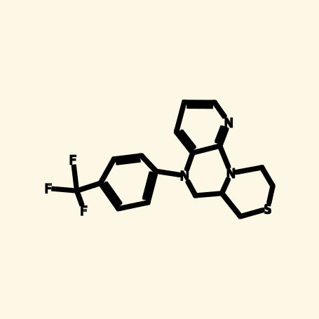 FC(F)(F)c1ccc(N2CC3CSCCN3c3ncccc32)cc1